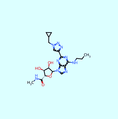 CCCNc1nc(-c2cn(CC3CC3)nn2)nc2c1ncn2C1O[C@H](C(=O)NC)[C@@H](O)[C@H]1O